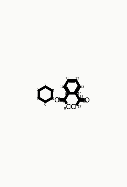 C1CCCCC1.O=C(Cl)c1ccccc1C(=O)Cl